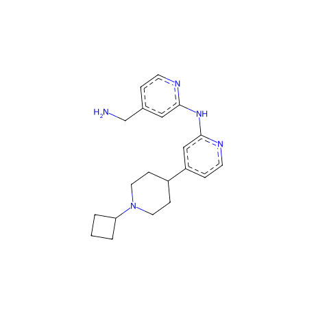 NCc1ccnc(Nc2cc(C3CCN(C4CCC4)CC3)ccn2)c1